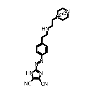 N#Cc1nc(N=Nc2ccc(CCNCC[N+]34CCN(CC3)CC4)cc2)[nH]c1C#N